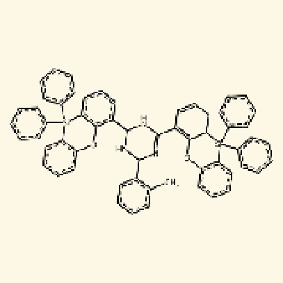 Cc1ccccc1C1N=C(C2=C3Oc4ccccc4[Si](c4ccccc4)(c4ccccc4)C3CC=C2)NC(c2cccc3c2Oc2ccccc2[Si]3(c2ccccc2)c2ccccc2)N1